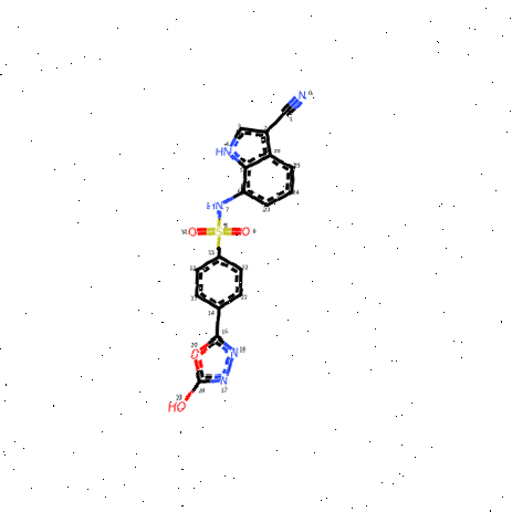 N#Cc1c[nH]c2c(NS(=O)(=O)c3ccc(-c4nnc(O)o4)cc3)cccc12